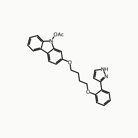 CC(=O)On1c2ccccc2c2ccc(OCCCCOc3ccccc3-c3cc[nH]n3)cc21